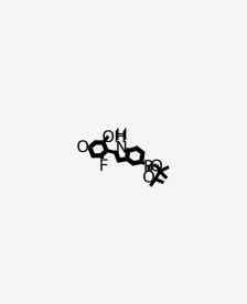 COc1cc(O)c(-c2cc3cc(B4OC(C)(C)C(C)(C)O4)ccc3[nH]2)c(F)c1